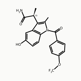 Cc1c([C@H](C)C(N)=O)c2cc(O)ccc2n1C(=O)c1ccc(OC(F)(F)F)cc1